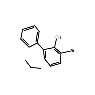 CCC.Oc1c(Br)cccc1-c1ccccc1